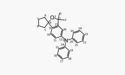 CC1(C)OC2(CCCC2)c2ccc(N(c3ccccc3)c3ccccc3)cc21